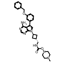 CN1CCN(OC(=O)NC[C@H]2C[C@H](n3cc(-c4cccc(OCc5ccccc5)c4)c4c(N)ncnc43)C2)CC1